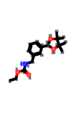 CCOC(=O)NCc1cccc(B2OC(C)(C)C(C)(C)O2)c1